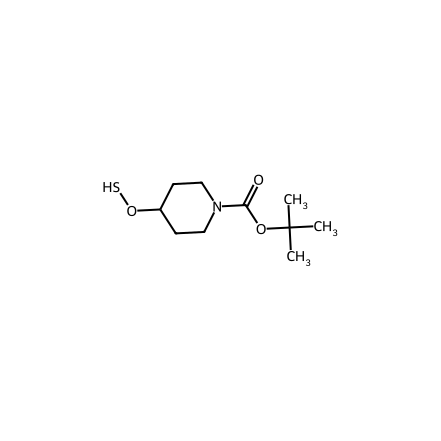 CC(C)(C)OC(=O)N1CCC(OS)CC1